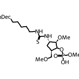 CCCCCCCCCCCCCCCNC(=S)N[C@H]1C[C@H](COC)C(OP(=O)(O)OC)[C@@H]1OC